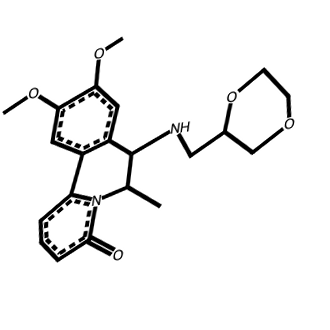 COc1cc2c(cc1OC)C(NCC1COCCO1)C(C)n1c-2cccc1=O